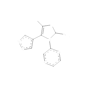 NC1SC(F)=C(c2cn[nH]c2)N1c1cnccn1